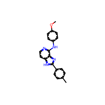 COc1ccc(Nc2nccc3[nH]c(-c4ccc(C)cc4)nc23)cc1